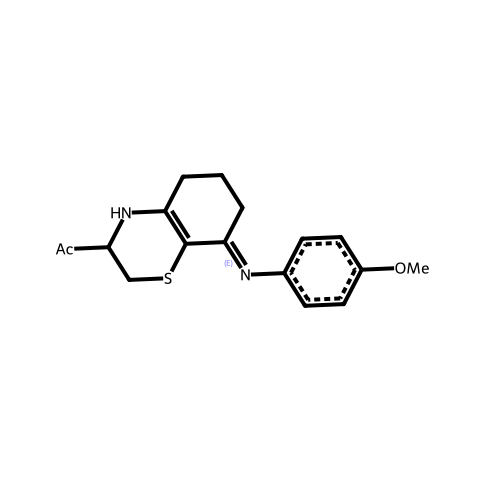 COc1ccc(/N=C2\CCCC3=C2SCC(C(C)=O)N3)cc1